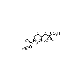 CC(C)(C)OC(=O)N1CCC(CC(C)(C)C(=O)O)CC1